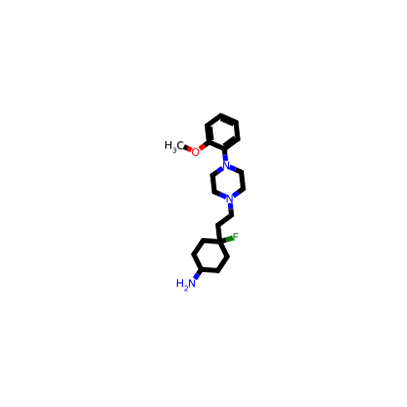 COc1ccccc1N1CCN(CCC2(F)CCC(N)CC2)CC1